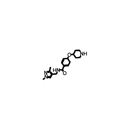 Cc1nn(C)cc1CNC(=O)C1=CCC(OC2CCNCC2)C=C1